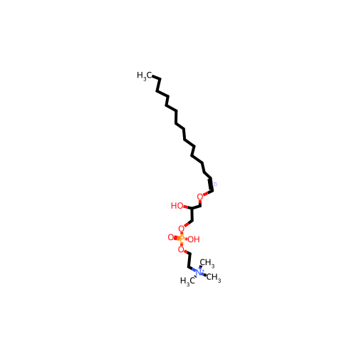 CCCCCCCCCCCCC/C=C\OCC(O)COP(=O)(O)OCC[N+](C)(C)C